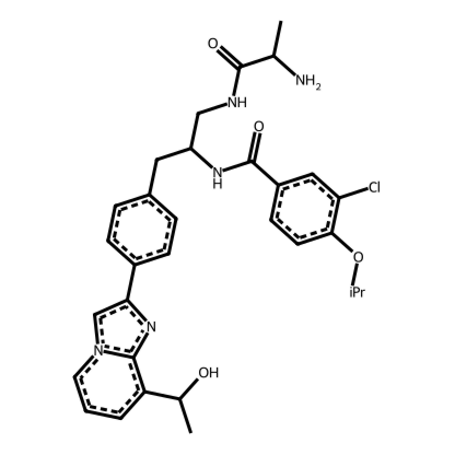 CC(C)Oc1ccc(C(=O)NC(CNC(=O)C(C)N)Cc2ccc(-c3cn4cccc(C(C)O)c4n3)cc2)cc1Cl